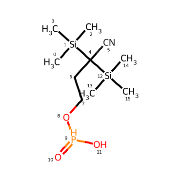 C[Si](C)(C)C(C#N)(CCO[PH](=O)O)[Si](C)(C)C